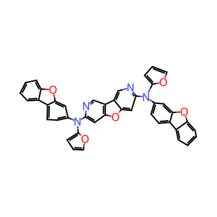 c1coc(N(c2ccc3c(c2)oc2ccccc23)c2cc3oc4cc(N(c5ccc6c(c5)oc5ccccc56)c5ccco5)ncc4c3cn2)c1